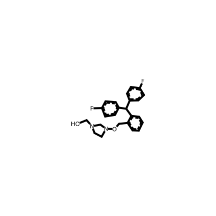 OCN1CCN(OCc2ccccc2C(c2ccc(F)cc2)c2ccc(F)cc2)C1